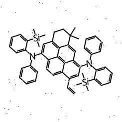 C=Cc1cc(N(c2ccccc2)c2ccccc2[Si](C)(C)C)c2cc3c4c(cc(N(c5ccccc5)c5ccccc5[Si](C)(C)C)c5ccc1c2c54)CCC3(C)C